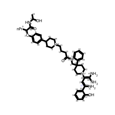 CCCC(Oc1ccc(C2CCN(CCCC(=O)NCC3(c4ccccc4)CCN(C(/C=C(\N)c4ccccc4O)=C(N)N)CC3)CC2)cc1)C(=O)NC(C)O